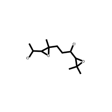 CC(Cl)C1OC1(C)CCC(Cl)C1OC1(C)C